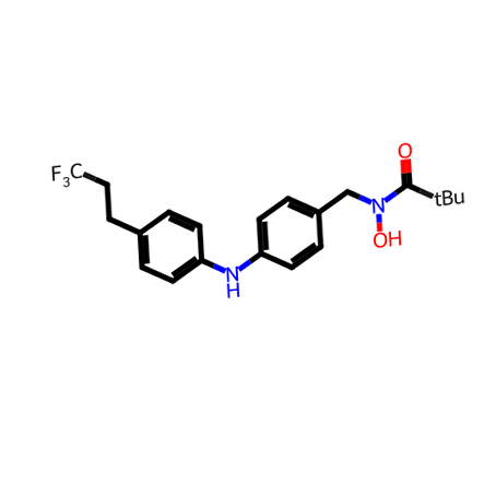 CC(C)(C)C(=O)N(O)Cc1ccc(Nc2ccc(CCC(F)(F)F)cc2)cc1